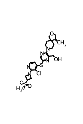 C=C1COCC12CCN(c1ncc(Sc3ccnc(N4CC(S(C)(=O)=O)C4)c3Cl)nc1CO)CC2